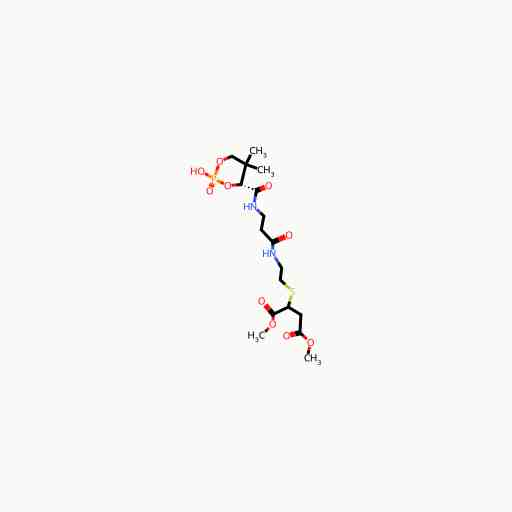 COC(=O)CC(SCCNC(=O)CCNC(=O)[C@@H]1OP(=O)(O)OCC1(C)C)C(=O)OC